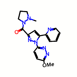 COc1ccc(-n2nc(C(=O)N3CCCN3C)cc2-c2ccccn2)nn1